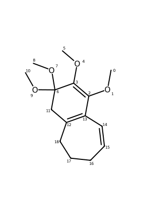 COC1=C(OC)C(OC)(OC)CC2=C1C=CCCC2